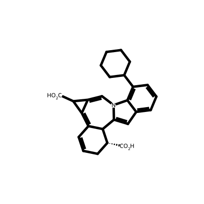 O=C(O)C1C2=Cn3c(cc4cccc(C5CCCCC5)c43)C3C(=C21)C=CC[C@H]3C(=O)O